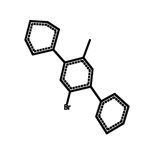 Cc1cc(-c2ccccc2)c(Br)cc1-c1ccccc1